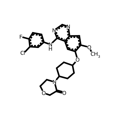 COc1cc2ncnc(Nc3ccc(F)c(Cl)c3)c2cc1OC1CCC(N2CCOCC2=O)CC1